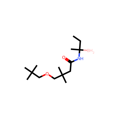 BC(C)(CC)NC(=O)CC(C)(C)COCC(C)(C)C